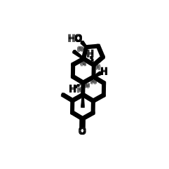 CC1CC(=O)CC2CC[C@@H]3[C@H](CC[C@]4(C)[C@@H](O)CC[C@@H]34)[C@@]12C